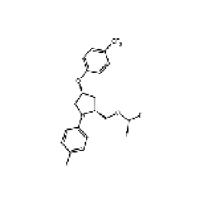 Cc1ccc(N2C[C@@H](Oc3ccc(C(F)(F)F)cc3)C[C@H]2COC(F)F)cc1